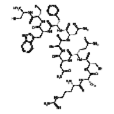 CC[C@H](C)[C@H](NC(=O)[C@H](CC(N)=O)NC(=O)[C@H](CCC(N)=O)NC(=O)[C@H](CO)NC(=O)[C@H](C)NC(=O)[C@@H](N)CCCNC(=N)N)C(=O)N[C@@H](CC(N)=O)C(=O)N[C@@H](Cc1ccccc1)C(=O)N[C@@H](Cc1c[nH]c2ccccc12)C(=O)N[C@@H](CC(C)C)C(=O)N[C@@H](CO)C(=O)O